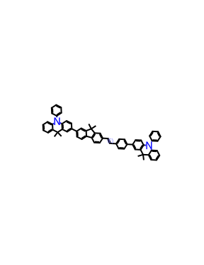 CC1(C)c2cc(/C=C/c3ccc(-c4ccc5c(c4)C(C)(C)c4ccccc4N5c4ccccc4)cc3)ccc2-c2ccc(-c3ccc4c(c3)C(C)(C)c3ccccc3N4c3ccccc3)cc21